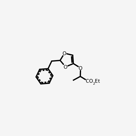 CCOC(=O)C(C)OC1=COC(Cc2ccccc2)O1